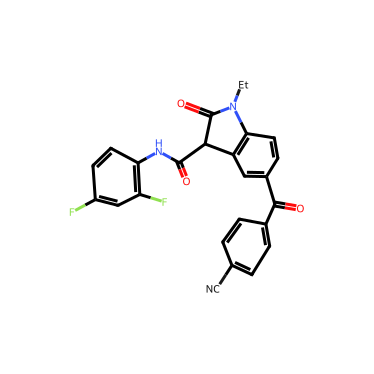 CCN1C(=O)C(C(=O)Nc2ccc(F)cc2F)c2cc(C(=O)c3ccc(C#N)cc3)ccc21